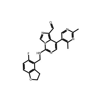 Cc1ncc(-c2cnc(NCc3c(F)ccc4c3CCO4)n3cnc(C=O)c23)c(C)n1